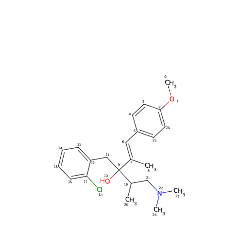 COc1ccc(C=C(C)C(O)(Cc2ccccc2Cl)C(C)CN(C)C)cc1